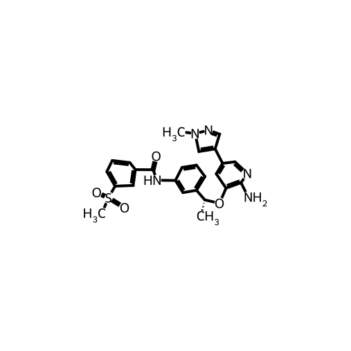 C[C@@H](Oc1cc(-c2cnn(C)c2)cnc1N)c1cccc(NC(=O)c2cccc(S(C)(=O)=O)c2)c1